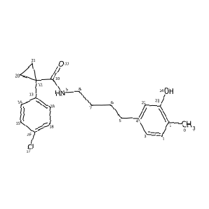 Cc1ccc(CCCCNC(=O)C2(c3ccc(Cl)cc3)CC2)cc1O